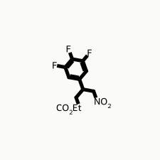 CCOC(=O)CC(C[N+](=O)[O-])c1cc(F)c(F)c(F)c1